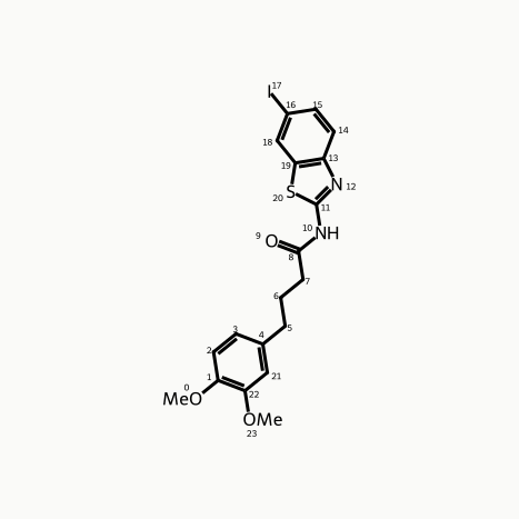 COc1ccc(CCCC(=O)Nc2nc3ccc(I)cc3s2)cc1OC